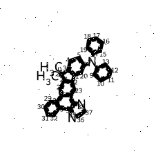 CC1(C)c2ccc(N(c3ccccc3)c3ccccc3)cc2-c2cc3c(cc21)c1ccccc1c1nccnc31